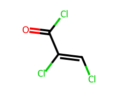 O=C(Cl)C(Cl)=CCl